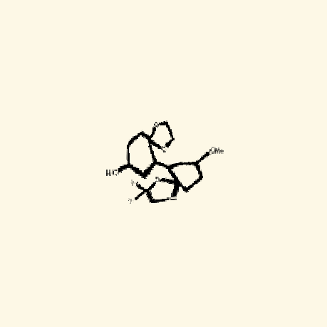 [2H]C1([2H])COC2(CCC(OC)CC2C2CC(O)CCC23OCCO3)O1